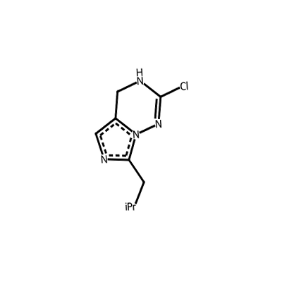 CC(C)Cc1ncc2n1N=C(Cl)NC2